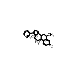 CC1CC2C3=CC=C(c4cccnc4)[C@@]3(C)CCC2[C@@]2(C)C=CC(=O)C=C12